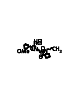 C=CCCn1c(=O)n(CCN2CCN(c3ccccc3OC)CC2)c(=O)c2ccccc21.Cl.Cl